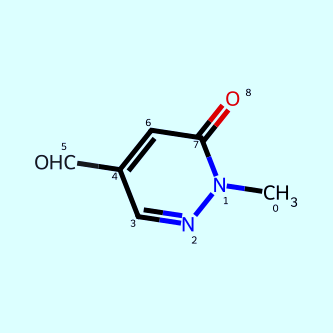 Cn1ncc(C=O)cc1=O